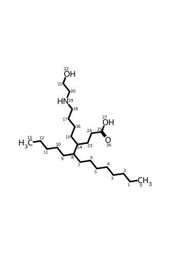 CCCCCCCCC(CCCCC)C(CCCCNCCO)CCC(=O)O